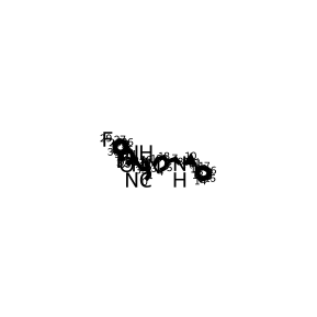 N#CCC1(N2CCC(CN[C@@H]3C[C@H]3c3ccccc3)CC2)CN(C(=O)Nc2ccc(F)cc2F)C1